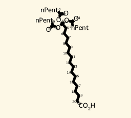 CCCCCC(=O)OC(CCCCCCCCCCCCCCCCC(=O)O)(OC(=O)CCCCC)OC(=O)CCCCC